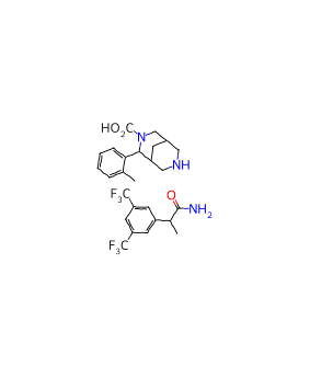 CC(C(N)=O)c1cc(C(F)(F)F)cc(C(F)(F)F)c1.Cc1ccccc1C1C2CNCC(C2)CN1C(=O)O